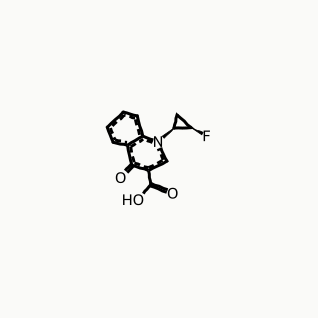 O=C(O)c1cn([C@H]2C[C@H]2F)c2ccccc2c1=O